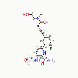 CN(CCO)C(=O)CC#Cc1ccc(F)c(-c2ccc(NC3COC3)c(C(N)=O)n2)c1